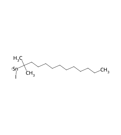 CCCCCCCCCCC[C](C)(C)[Sn][I]